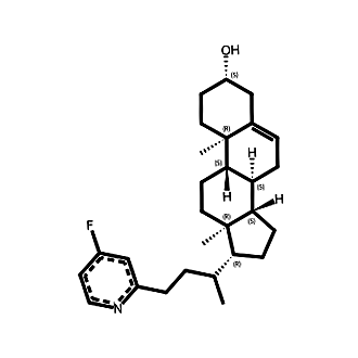 CC(CCc1cc(F)ccn1)[C@H]1CC[C@H]2[C@@H]3CC=C4C[C@@H](O)CC[C@]4(C)[C@H]3CC[C@]12C